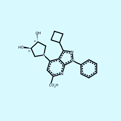 O=C(O)c1cc(N2C[C@@H](O)[C@H](O)C2)c2c(C3CCC3)nn(-c3ccccc3)c2n1